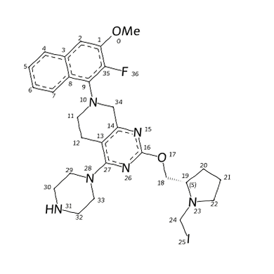 COc1cc2ccccc2c(N2CCc3c(nc(OC[C@@H]4CCCN4CI)nc3N3CCNCC3)C2)c1F